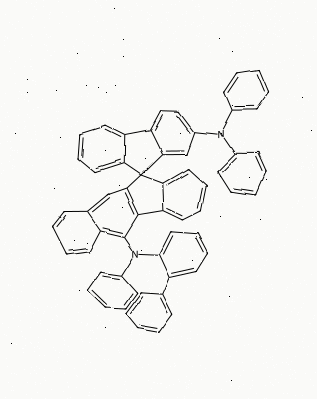 c1ccc(-c2ccccc2N(c2ccccc2)c2c3c(cc4ccccc24)C2(c4ccccc4-c4ccc(N(c5ccccc5)c5ccccc5)cc42)c2ccccc2-3)cc1